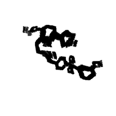 Cc1ccc(-c2cn[nH]c2)nc1/C=C\NCC1CCN(S(=O)(=O)c2cccc(C#N)c2)CC1